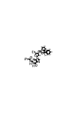 CC[C@H]1O[C@@H](n2cnc3c(=O)[nH]c(NC(=O)C(C)C)nc32)CC1O[P@]1O[C@@](C)(c2ccccc2)[C@H]2CCCN21